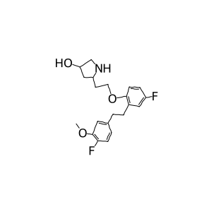 COc1cc(CCc2cc(F)ccc2OCCC2CC(O)CN2)ccc1F